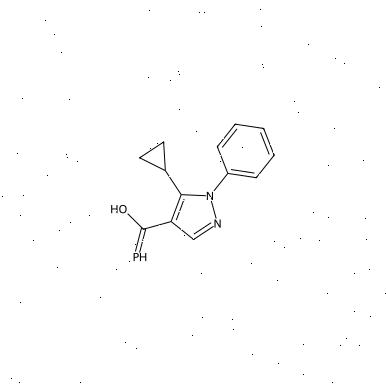 OC(=P)c1cnn(-c2ccccc2)c1C1CC1